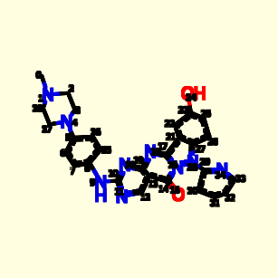 CN1CCN(c2ccc(Nc3ncc4c(=O)n5c(nc4n3)c3cc(O)ccc3n5-c3ccccn3)cc2)CC1